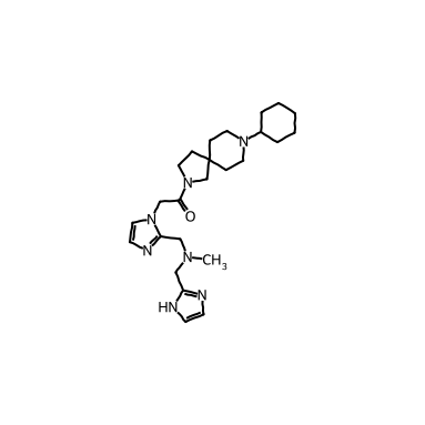 CN(Cc1ncc[nH]1)Cc1nccn1CC(=O)N1CCC2(CCN(C3CCCCC3)CC2)C1